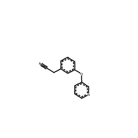 N#C[CH]c1cccc(Oc2cccnc2)c1